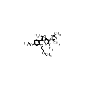 COCCOc1cc(OC)ccc1-c1c(C)oc2c(-n3nc(C)nc3C)c(C)nn12